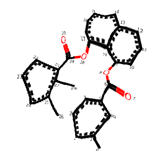 Cc1cccc(C(=O)Oc2cccc3cccc(OC(=O)c4cccc(C)c4C)c23)c1